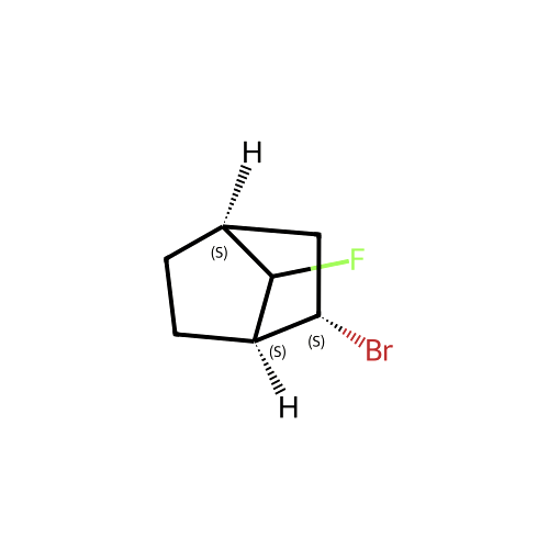 FC1[C@H]2CC[C@@H]1[C@@H](Br)C2